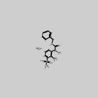 C[C@H](C(=O)OCc1ccccc1)c1cccc(S(C)(=O)=O)c1N.Cl